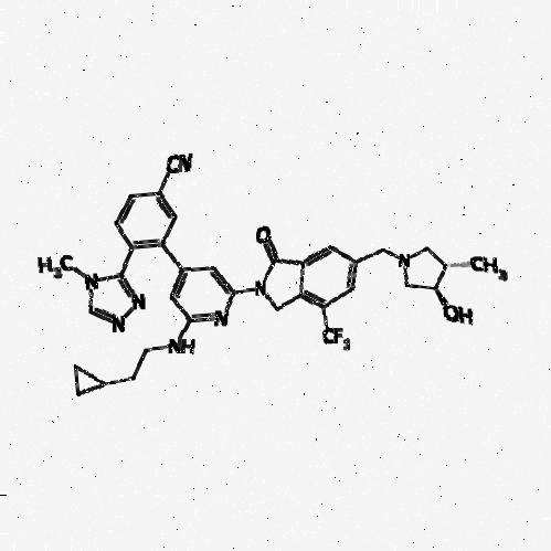 C[C@H]1CN(Cc2cc3c(c(C(F)(F)F)c2)CN(c2cc(-c4cc(C#N)ccc4-c4nncn4C)cc(NCCC4CC4)n2)C3=O)C[C@@H]1O